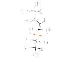 CCC(C(CC)C(C)(CC)S(=O)(=O)C(C)(C)C(C)(CC)CC)C(C)(C)CC